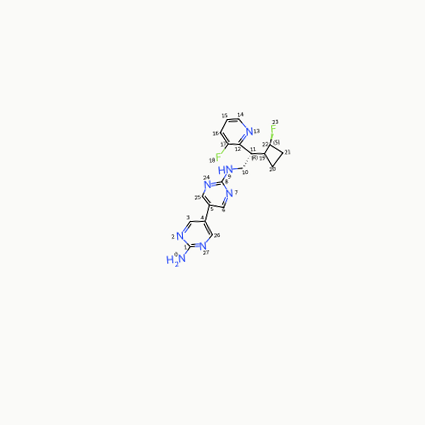 Nc1ncc(-c2cnc(NC[C@H](c3ncccc3F)C3CC[C@@H]3F)nc2)cn1